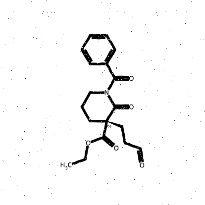 CCOC(=O)[C@]1(CCC=O)CCCN(C(=O)c2ccccc2)C1=O